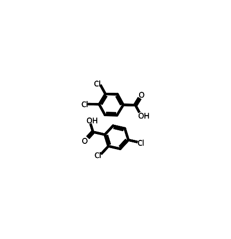 O=C(O)c1ccc(Cl)c(Cl)c1.O=C(O)c1ccc(Cl)cc1Cl